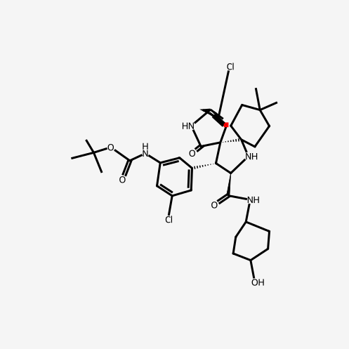 CC1(C)CCC2(CC1)N[C@@H](C(=O)NC1CCC(O)CC1)[C@H](c1cc(Cl)cc(NC(=O)OC(C)(C)C)c1)[C@]21C(=O)Nc2cc(Cl)ccc21